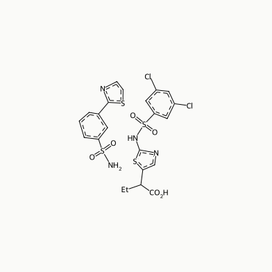 CCC(C(=O)O)c1cnc(NS(=O)(=O)c2cc(Cl)cc(Cl)c2)s1.NS(=O)(=O)c1cccc(-c2nccs2)c1